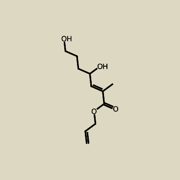 C=CCOC(=O)C(C)=CC(O)CCCO